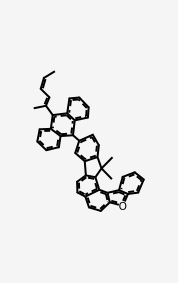 C/C=C\C=C(/C)c1c2ccccc2c(-c2ccc3c(c2)-c2ccc4ccc5oc6ccccc6c5c4c2C3(C)C)c2ccccc12